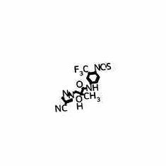 CC(O)(Cn1cc(C#N)cn1)C(=O)Nc1ccc(N=C=S)c(C(F)(F)F)c1